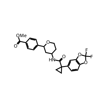 COC(=O)c1ccc(C2CC(NC(=O)C3(c4ccc5c(c4)OC(F)(F)O5)CC3)CCO2)cc1